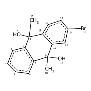 CC1(O)c2ccccc2C(C)(O)c2cc(Br)ccc21